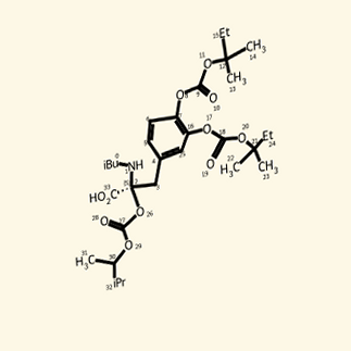 CCC(C)N[C@@](Cc1ccc(OC(=O)OC(C)(C)CC)c(OC(=O)OC(C)(C)CC)c1)(OC(=O)OC(C)C(C)C)C(=O)O